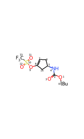 CC(C)(C)OC(=O)N[C@@H]1CC=C(OS(=O)(=O)C(F)(F)F)C1